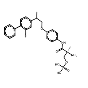 CC(COc1ccc(NC(=O)[C@@](C)(N)COP(=O)(O)O)cc1)c1ccc(-c2ccccc2)c(F)c1